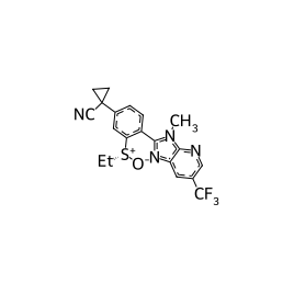 CC[S@@+]([O-])c1cc(C2(C#N)CC2)ccc1-c1nc2cc(C(F)(F)F)cnc2n1C